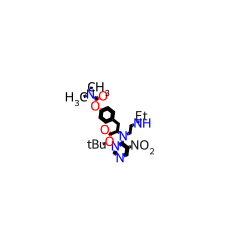 CCNCCN(c1ncncc1[N+](=O)[O-])C(Cc1ccc(OC(=O)N(C)C)cc1)C(=O)OC(C)(C)C